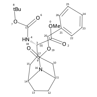 COC(=O)[C@@H](NC(=O)OC(C)(C)C)C1CC2CCC(C1)N2C(=O)OCc1ccccc1